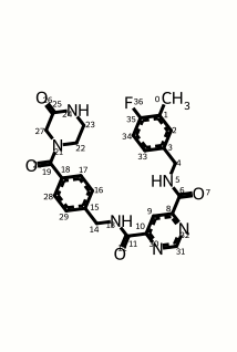 Cc1cc(CNC(=O)c2cc(C(=O)NCc3ccc(C(=O)N4CCNC(=O)C4)cc3)ncn2)ccc1F